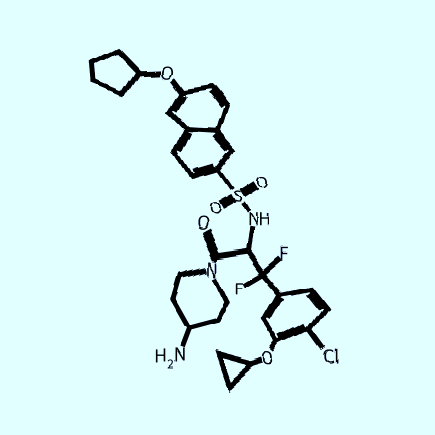 NC1CCN(C(=O)C(NS(=O)(=O)c2ccc3cc(OC4CCCC4)ccc3c2)C(F)(F)c2ccc(Cl)c(OC3CC3)c2)CC1